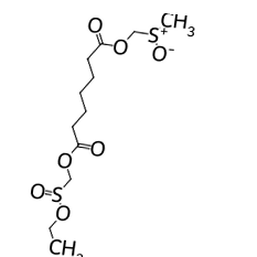 CCOS(=O)COC(=O)CCCCCC(=O)OC[S+](C)[O-]